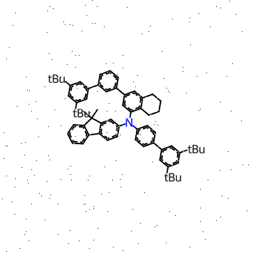 CC(C)(C)c1cc(-c2ccc(N(c3ccc4c(c3)C(C)(C)c3ccccc3-4)c3cc(-c4cccc(-c5cc(C(C)(C)C)cc(C(C)(C)C)c5)c4)cc4c3CCCC4)cc2)cc(C(C)(C)C)c1